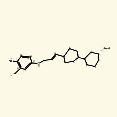 CCCCC[C@@H]1CCC[C@@H](C2CCC(/C=C/COc3ccc(C#N)c(F)c3)CC2)C1